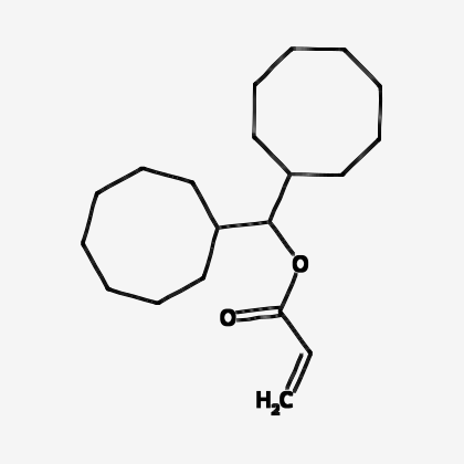 C=CC(=O)OC(C1CCCCCCC1)C1CCCCCCC1